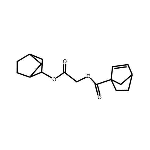 O=C(COC(=O)C12C=CC(CC1)C2)OC1CC2CCC1C2